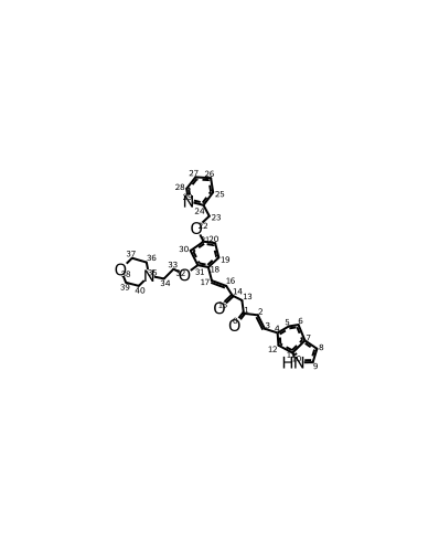 O=C(/C=C/c1ccc2cc[nH]c2c1)CC(=O)/C=C/c1ccc(OCc2ccccn2)cc1OCCN1CCOCC1